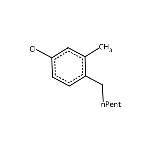 CCCCCCc1ccc(Cl)cc1C